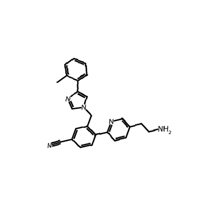 Cc1ccccc1-c1cn(Cc2cc(C#N)ccc2-c2ccc(CCN)cn2)cn1